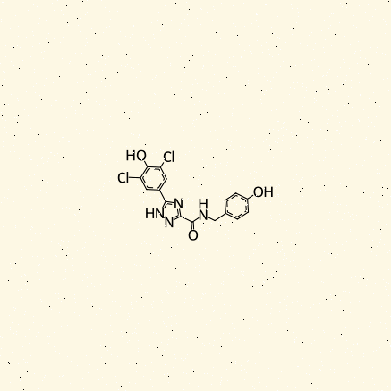 O=C(NCc1ccc(O)cc1)c1n[nH]c(-c2cc(Cl)c(O)c(Cl)c2)n1